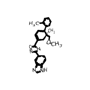 COC[C@@]1(C)CC(c2nc(-c3ccc4[nH]cnc4c3)no2)=CC=C1c1ccccc1C